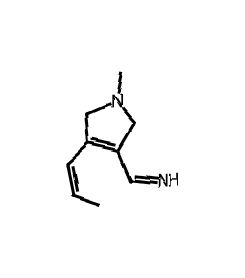 C/C=C\C1=C(C=N)CN(C)C1